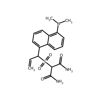 C=CC(c1cccc2c(N(C)C)cccc12)S(=O)(=O)C(C(N)=O)C(N)=O